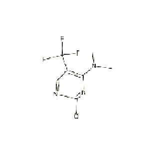 CN(C)c1nc(Cl)ncc1C(F)(F)F